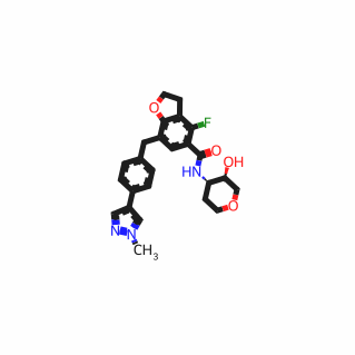 Cn1cc(-c2ccc(Cc3cc(C(=O)N[C@H]4CCOC[C@@H]4O)c(F)c4c3OCC4)cc2)cn1